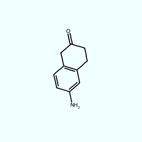 Nc1ccc2c(c1)CCC(=O)C2